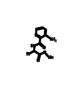 CCC(NC(=O)c1ncccc1N)C(=O)OC(C)(C)C